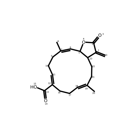 C=C1C(=O)OC2/C=C(/C)CC/C=C(\C(=O)O)CC/C=C(\C)CCC12